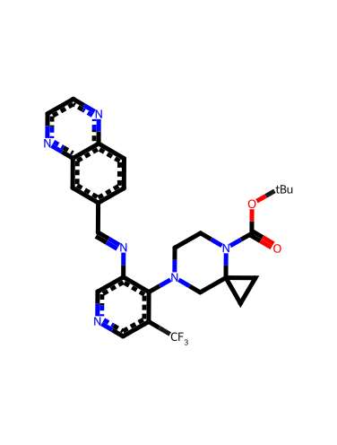 CC(C)(C)OC(=O)N1CCN(c2c(/N=C/c3ccc4nccnc4c3)cncc2C(F)(F)F)CC12CC2